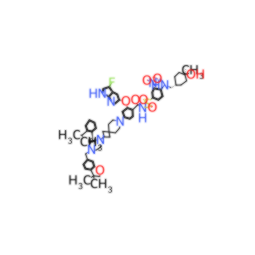 CC(C)c1ccccc1[C@@H]1CN(Cc2ccc3c(c2)OCC3(C)C)CCN1C1CC2(CCN(c3ccc(C(=O)NS(=O)(=O)c4ccc(NC[C@H]5CC[C@](C)(O)CC5)c([N+](=O)[O-])c4)c(Oc4cnc5[nH]cc(F)c5c4)c3)CC2)C1